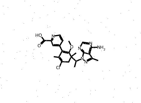 COC1=C(c2ccnc(C(=O)O)c2)C(C)=C(Cl)CC1(C)C(C)n1nc(C)c2c(N)ncnc21